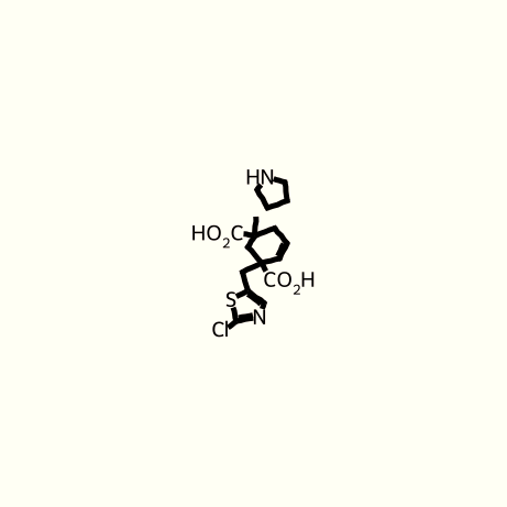 C1CCNC1.CC1(C(=O)O)CC=CC(Cc2cnc(Cl)s2)(C(=O)O)C1